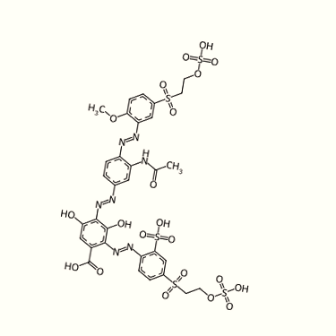 COc1ccc(S(=O)(=O)CCOS(=O)(=O)O)cc1N=Nc1ccc(N=Nc2c(O)cc(C(=O)O)c(N=Nc3ccc(S(=O)(=O)CCOS(=O)(=O)O)cc3S(=O)(=O)O)c2O)cc1NC(C)=O